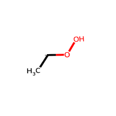 C[CH]OO